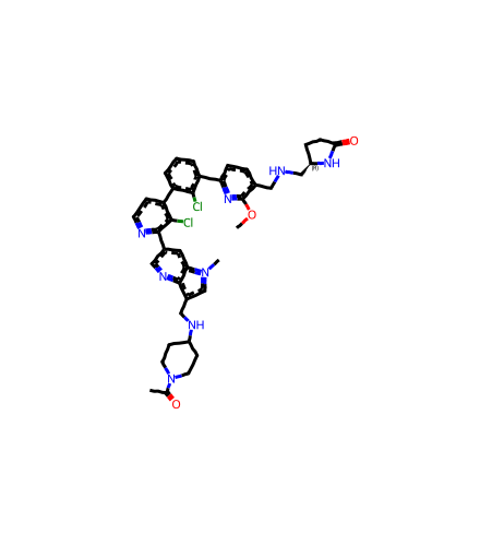 COc1nc(-c2cccc(-c3ccnc(-c4cnc5c(CNC6CCN(C(C)=O)CC6)cn(C)c5c4)c3Cl)c2Cl)ccc1CNC[C@H]1CCC(=O)N1